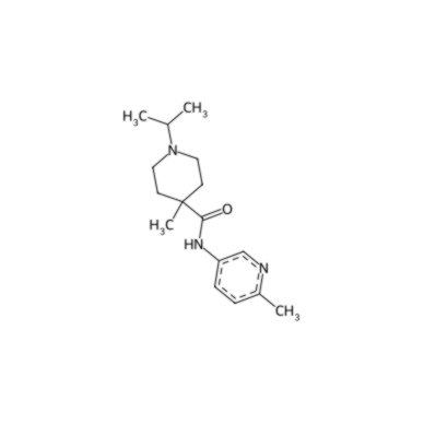 Cc1ccc(NC(=O)C2(C)CCN(C(C)C)CC2)cn1